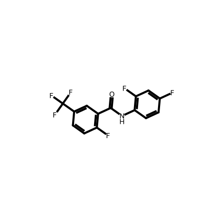 O=C(Nc1ccc(F)cc1F)c1cc(C(F)(F)F)ccc1F